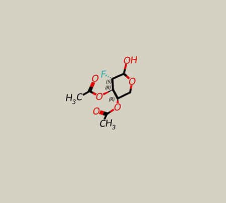 CC(=O)O[C@H]1[C@H](F)C(O)OC[C@H]1OC(C)=O